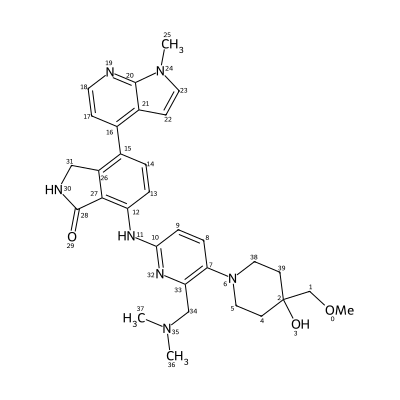 COCC1(O)CCN(c2ccc(Nc3ccc(-c4ccnc5c4ccn5C)c4c3C(=O)NC4)nc2CN(C)C)CC1